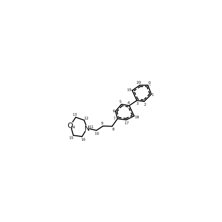 [c]1ccc(-c2ccc(CCCN3CCOCC3)cc2)cc1